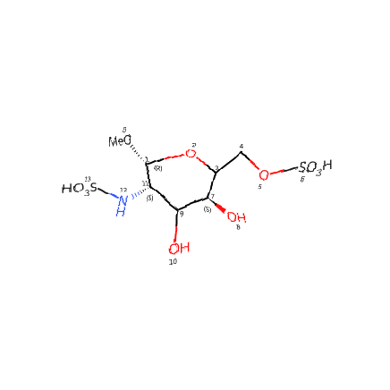 CO[C@@H]1OC(COS(=O)(=O)O)[C@@H](O)C(O)[C@@H]1NS(=O)(=O)O